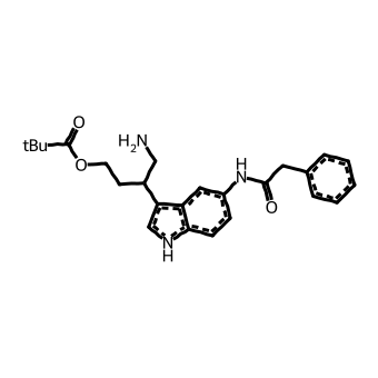 CC(C)(C)C(=O)OCCC(CN)c1c[nH]c2ccc(NC(=O)Cc3ccccc3)cc12